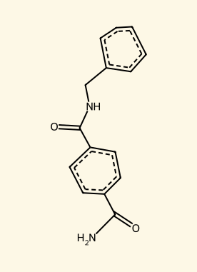 NC(=O)c1ccc(C(=O)NCc2ccccc2)cc1